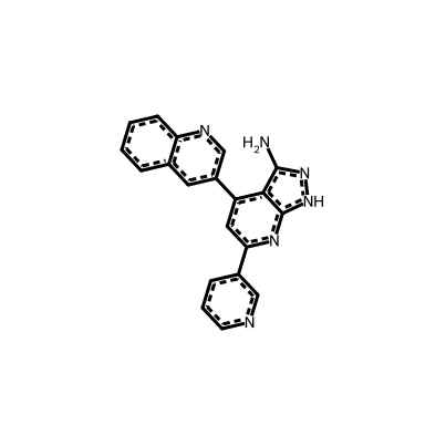 Nc1n[nH]c2nc(-c3cccnc3)cc(-c3cnc4ccccc4c3)c12